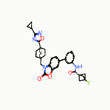 O=C(Nc1cccc(-c2ccc3c(c2)oc(=O)n3CC23CCC(c4nc(C5CC5)no4)(CC2)CC3)c1)C12CC(F)(C1)C2